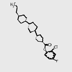 CCC[C@H]1CC[C@H]([C@H]2CC[C@H]([C@H]3CC[C@H](C(=O)Oc4ccc(F)cc4Cl)CC3)CC2)CC1